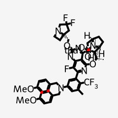 COc1ccc(CN(Cc2ccc(OC)cc2)c2cc(C)c(C(F)(F)F)c(-c3nc4c5c(nc(OC[C@]67CCN6CC(F)(F)C7)nc5c3F)N3C[C@H]5CC[C@@H]([C@H]3[C@H](C)O4)N5C(=O)OC(C)(C)C)c2)cc1